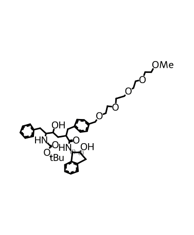 COCCOCCOCCOCCOCc1ccc(CC(CC(O)C(Cc2ccccc2)NC(=O)OC(C)(C)C)C(=O)N[C@H]2c3ccccc3C[C@@H]2O)cc1